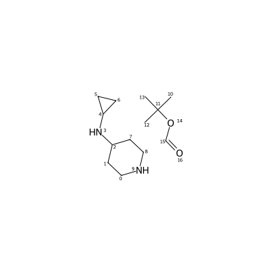 C1CC(NC2CC2)CCN1.CC(C)(C)OC=O